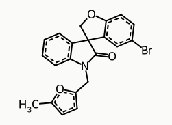 Cc1ccc(CN2C(=O)C3(COc4ccc(Br)cc43)c3ccccc32)o1